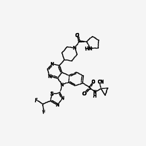 N#CC1(NS(=O)(=O)c2ccc3c4c(C5CCN(C(=O)[C@H]6CCCN6)CC5)ncnc4n(-c4nnc(C(F)F)s4)c3c2)CC1